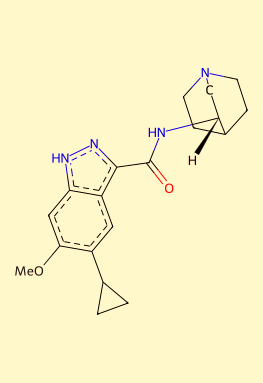 COc1cc2[nH]nc(C(=O)N[C@@H]3CN4CCC3CC4)c2cc1C1CC1